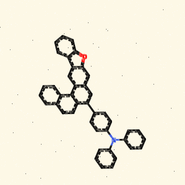 c1ccc(N(c2ccccc2)c2ccc(-c3cc4cc5oc6ccccc6c5cc4c4c3ccc3ccccc34)cc2)cc1